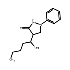 CCCCC(O)C1CN(c2ccccc2)NC1=O